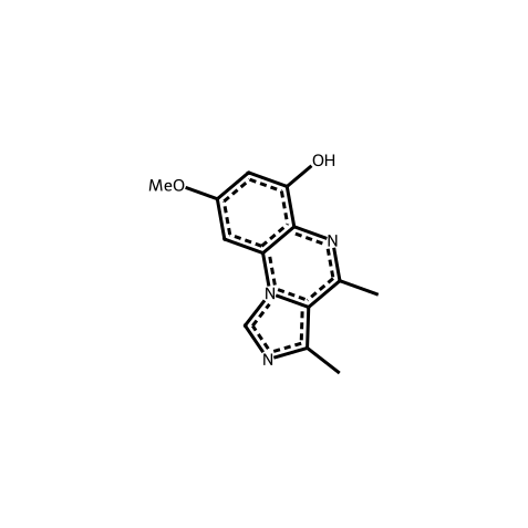 COc1cc(O)c2nc(C)c3c(C)ncn3c2c1